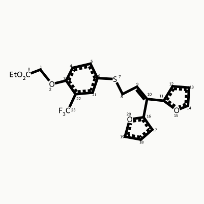 CCOC(=O)COc1ccc(SCC=C(c2ccco2)c2ccco2)cc1C(F)(F)F